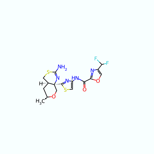 C[C@H]1C[C@H]2CSC(N)=N[C@@]2(c2nc(NC(=O)c3nc(C(F)F)co3)cs2)CO1